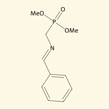 COP(=O)(CN=Cc1ccccc1)OC